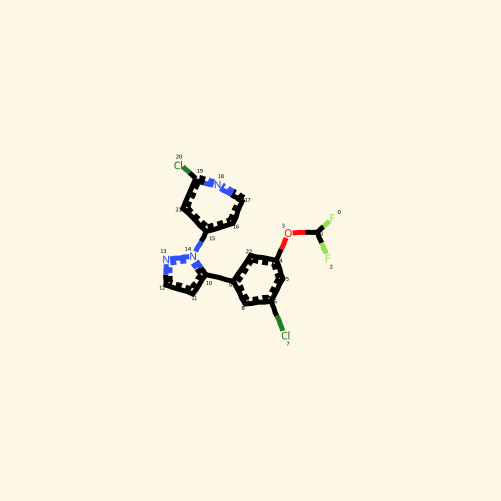 FC(F)Oc1cc(Cl)cc(-c2ccnn2-c2ccnc(Cl)c2)c1